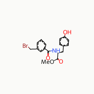 COC(=O)[C@H](Cc1ccc(O)cc1)NC(=O)c1cccc(CBr)c1